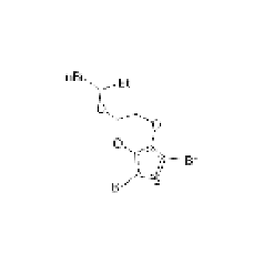 CCCCC(CC)OC1COc2c(Br)sc(Br)c2O1